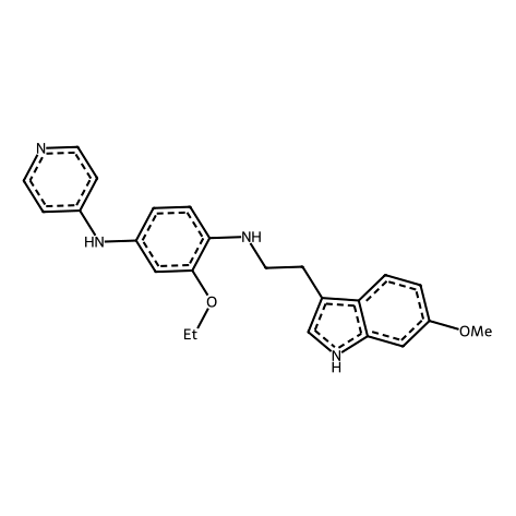 CCOc1cc(Nc2ccncc2)ccc1NCCc1c[nH]c2cc(OC)ccc12